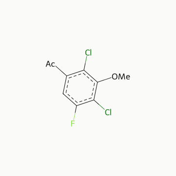 COc1c(Cl)c(F)cc(C(C)=O)c1Cl